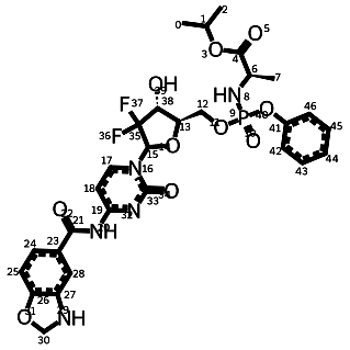 CC(C)OC(=O)[C@@H](C)NP(=O)(OC[C@H]1OC(n2ccc(NC(=O)c3ccc4c(c3)NCO4)nc2=O)C(F)(F)[C@@H]1O)Oc1ccccc1